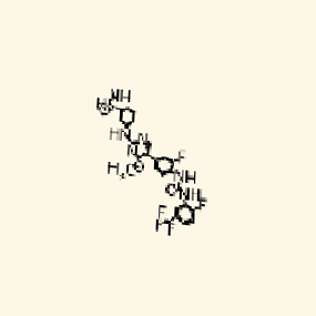 COc1nc(Nc2cccc([SH](=N)=O)c2)ncc1-c1ccc(NC(=O)Nc2cc(C(F)(F)F)ccc2F)c(F)c1